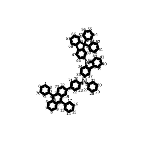 c1ccc(-c2c3ccccc3c(-c3ccccc3)c3cc(-c4ccc(N(c5ccccc5)c5ccc6c(c5)c5ccccc5n6-c5ccc6c(c5)C(c5ccccc5)(c5ccccc5)c5ccccc5-6)cc4)ccc23)cc1